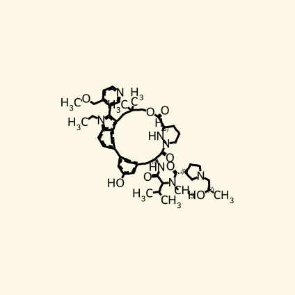 CCn1c(-c2cnccc2COC)c2c3cc(ccc31)-c1cc(O)cc(c1)C[C@H](NC(=O)C(C(C)C)N(C)C(=O)[C@@H]1CCN(C[C@@H](C)O)C1)C(=O)N1CCC[C@H](N1)C(=O)OCC(C)(C)C2